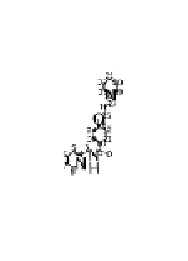 CC(NCc1ccccn1)c1ccc(OCCCN2CCCCC2)cc1